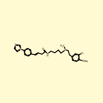 COc1ccc(CCN(C)CCCCNC(=O)C/C=C/c2ccc(-n3ccnc3)cc2)cc1Cl